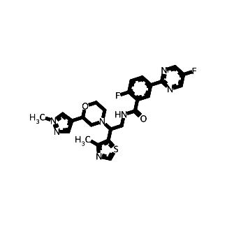 Cc1ncsc1C(CNC(=O)c1cc(-c2ncc(F)cn2)ccc1F)N1CCOC(c2cnn(C)c2)C1